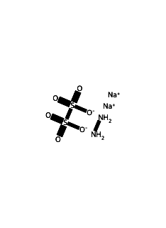 NN.O=S(=O)([O-])S(=O)(=O)[O-].[Na+].[Na+]